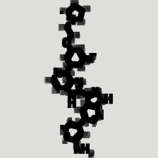 Nc1cncc(-c2cnc3[nH]nc(-c4nc5c(-c6cc(F)cc(OCCN7CCCC7)c6)nccc5[nH]4)c3c2)c1